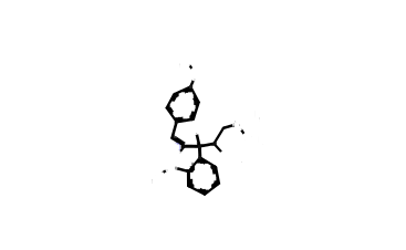 COc1ccc(/C=C(/C)C(O)(c2ccccc2OC)C(C)CN(C)C)cc1